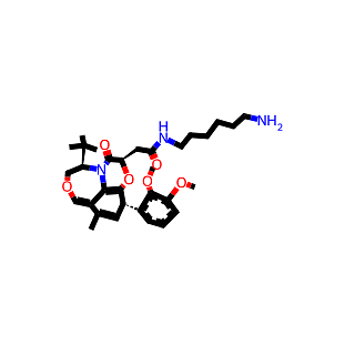 COc1cccc([C@@H]2C=C(C)C3=COC[C@@H](C(C)(C)C)N4C(=O)[C@@H](CC(=O)NCCCCCCN)OC2=C34)c1OC